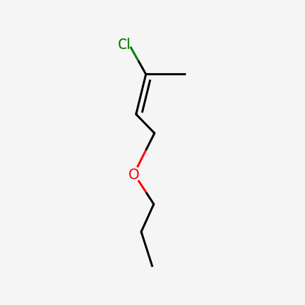 CCCOC/C=C(\C)Cl